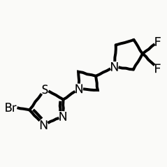 FC1(F)CCN(C2CN(c3nnc(Br)s3)C2)C1